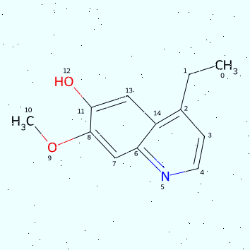 CCc1ccnc2cc(OC)c(O)cc12